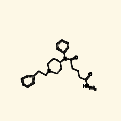 O=C(CCCC(=O)N(c1ccccc1)C1CCN(CCc2ccccc2)CC1)NP